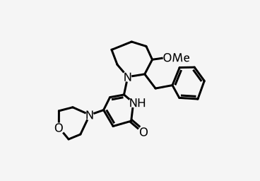 COC1CCCCN(c2cc(N3CCOCC3)cc(=O)[nH]2)C1Cc1ccccc1